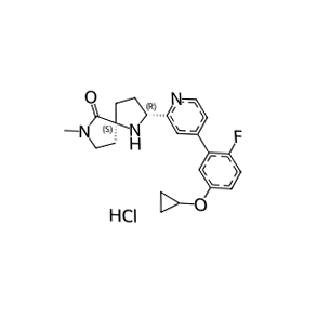 CN1CC[C@@]2(CC[C@H](c3cc(-c4cc(OC5CC5)ccc4F)ccn3)N2)C1=O.Cl